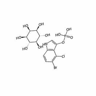 O=P(O)(O)Oc1c[nH]c2ccc(Br)c(Cl)c12.O[C@H]1[C@H](O)[C@@H](O)[C@H](O)[C@@H](O)[C@H]1O